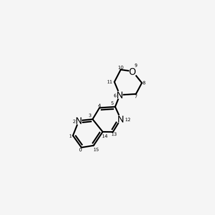 c1cnc2cc(N3CCOCC3)ncc2c1